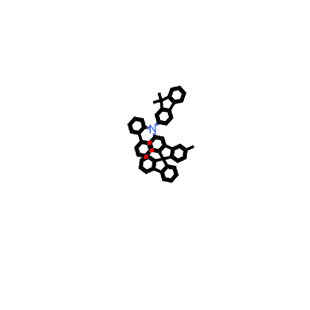 Cc1ccc2c(c1)-c1cc(N(c3ccc4c(c3)C(C)(C)c3ccccc3-4)c3ccccc3-c3ccccc3)ccc1C21c2ccccc2-c2ccccc21